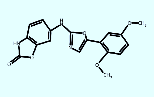 COc1ccc(OC)c(-c2cnc(Nc3ccc4[nH]c(=O)oc4c3)o2)c1